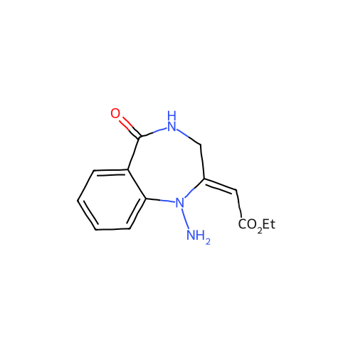 CCOC(=O)C=C1CNC(=O)c2ccccc2N1N